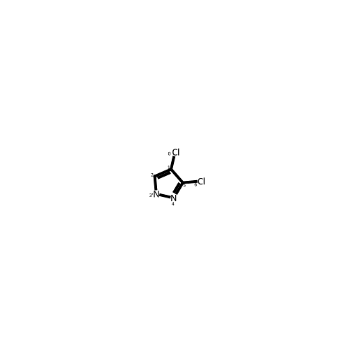 ClC1=C[N]N=C1Cl